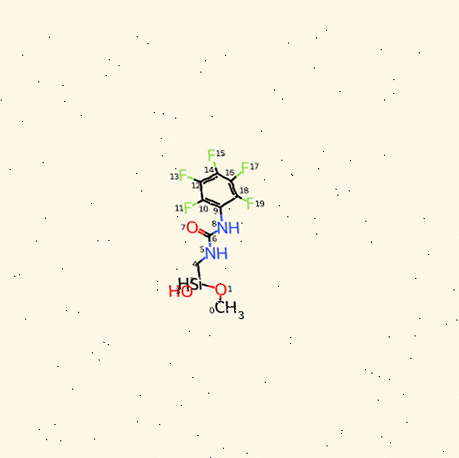 CO[SiH](O)CNC(=O)Nc1c(F)c(F)c(F)c(F)c1F